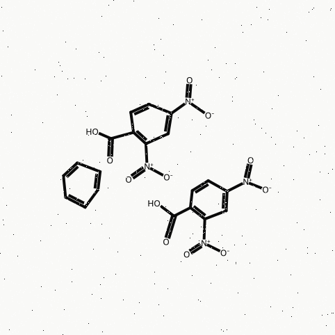 O=C(O)c1ccc([N+](=O)[O-])cc1[N+](=O)[O-].O=C(O)c1ccc([N+](=O)[O-])cc1[N+](=O)[O-].c1ccccc1